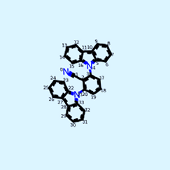 N#Cc1c(-n2c3ccccc3c3ccccc32)cccc1-n1c2ccccc2c2ccccc21